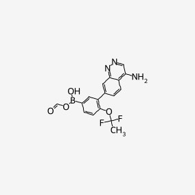 CC(F)(F)Oc1ccc(B(O)OC=O)cc1-c1ccc2c(N)cnnc2c1